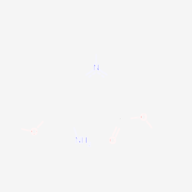 CCOC(=O)c1c(C)n(C)c2ccc(OC)c(N)c12